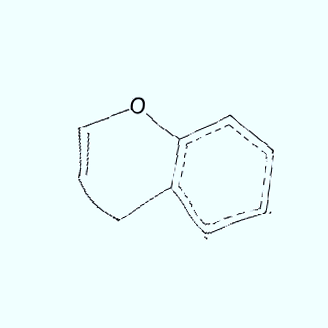 [c]1[c]c2c(cc1)OC=CC2